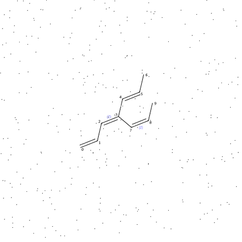 C=C/C=C(C=CC)\C=C/C